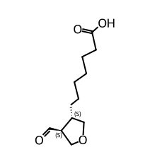 O=C[C@@H]1COC[C@H]1CCCCCCC(=O)O